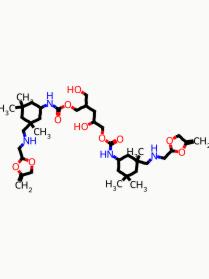 C=C1COC(CNCC2(C)CC(NC(=O)OCC(O)CC(CO)COC(=O)NC3CC(C)(C)CC(C)(CNCC4OCC(=C)O4)C3)CC(C)(C)C2)O1